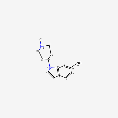 CN1CCC(n2ccc3ccc(N=O)cc32)CC1